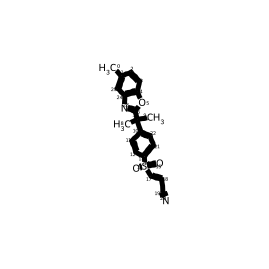 Cc1ccc2oc(C(C)(C)c3ccc(S(=O)(=O)/C=C/C#N)cc3)nc2c1